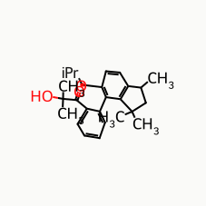 CC(C)C(=O)c1ccc2c(c1-c1ccccc1C(=O)C(C)(C)O)C(C)(C)CC2C